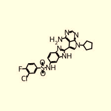 Nc1ncnc2c1c(-c1nc3ccc(NS(=O)(=O)c4ccc(F)c(Cl)c4)cc3[nH]1)cn2C1CCCC1